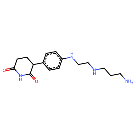 NCCCNCCNc1ccc(C2CCC(=O)NC2=O)cc1